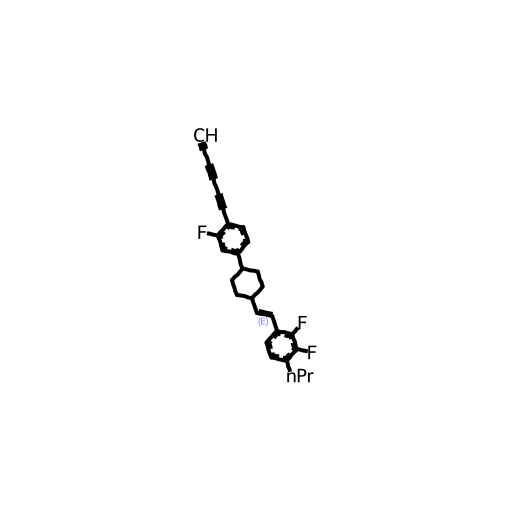 C#CC#CC#Cc1ccc(C2CCC(/C=C/c3ccc(CCC)c(F)c3F)CC2)cc1F